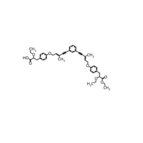 CCOC(=O)C(Cc1ccc(OC/C=C(\C)C#Cc2cccc(C#C/C(C)=C/COc3ccc(CC(OCC)C(=O)O)cc3)c2)cc1)OCC